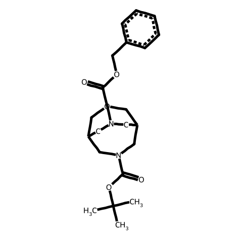 CC(C)(C)OC(=O)N1CC2COCC(CN(C(=O)OCc3ccccc3)C2)C1